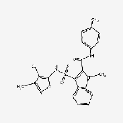 Cc1ccc(NC(=O)c2c(S(=O)(=O)Nc3onc(C)c3Cl)c3ccccc3n2C)cc1